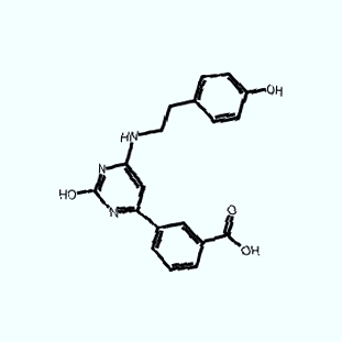 O=C(O)c1cccc(-c2cc(NCCc3ccc(O)cc3)nc(O)n2)c1